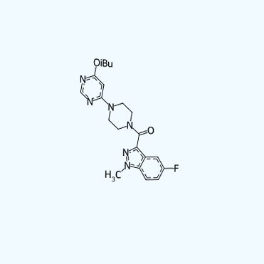 CC(C)COc1cc(N2CCN(C(=O)c3nn(C)c4ccc(F)cc34)CC2)ncn1